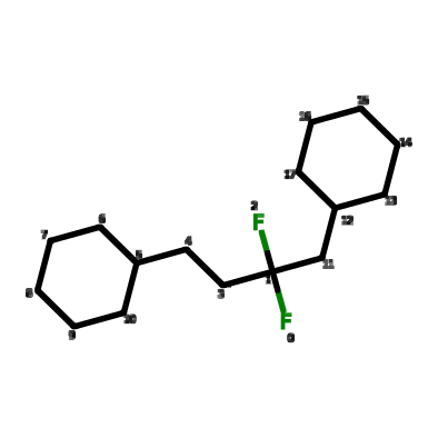 FC(F)([CH]CC1CCCCC1)CC1CCCCC1